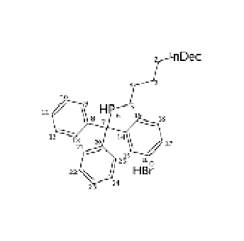 Br.CCCCCCCCCCCCCCPC(c1ccccc1)(c1ccccc1)c1ccccc1